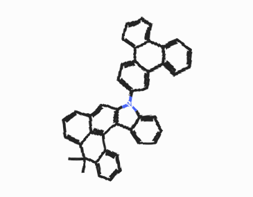 CC1(C)c2ccccc2-c2c3c1cccc3cc1c2c2ccccc2n1-c1ccc2c3ccccc3c3ccccc3c2c1